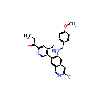 CCC(=O)c1cc(C)c(-c2cc3cnc(Cl)cc3cc2NCc2ccc(OC)cc2)cn1